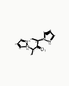 CC(C(=O)C(C)n1cccn1)n1cccn1